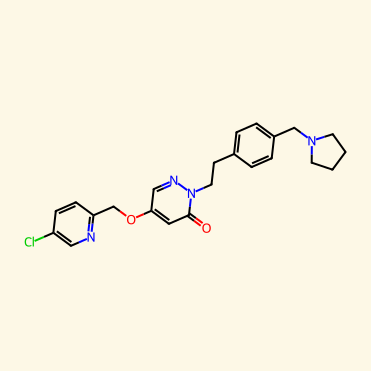 O=c1cc(OCc2ccc(Cl)cn2)cnn1CCc1ccc(CN2CCCC2)cc1